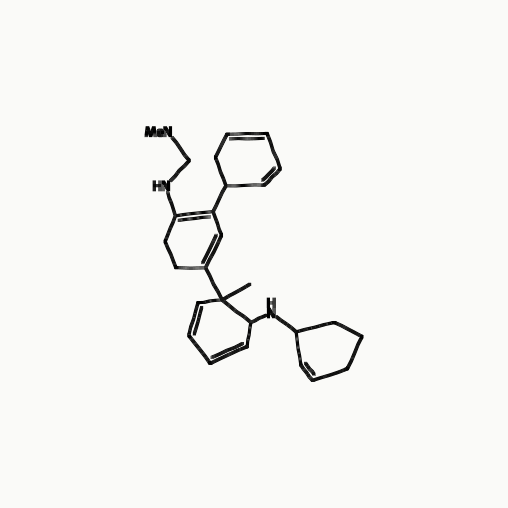 CNCNC1=C(C2C=CC=CC2)C=C(C2(C)C=CC=CC2NC2C=CCCC2)CC1